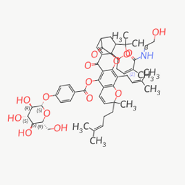 CC(C)=CCCC1(C)C=Cc2c(c(CC=C(C)C)c3c(c2OC(=O)c2ccc(O[C@@H]4O[C@H](CO)[C@@H](O)[C@H](O)[C@H]4O)cc2)C(=O)C2=CC4CC5C(C)(C)OC(C/C=C(/C)C(=O)NCCO)(C4=O)C25O3)O1